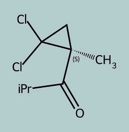 CC(C)C(=O)[C@]1(C)CC1(Cl)Cl